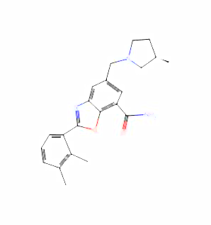 Cc1cccc(-c2nc3cc(CN4CC[C@@H](C)C4)cc(C(N)=O)c3o2)c1C